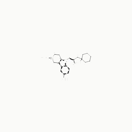 C/C(=C\n1c2c(c3cc(C)ccc31)CN(C)CC2)CC1(O)CCCCC1